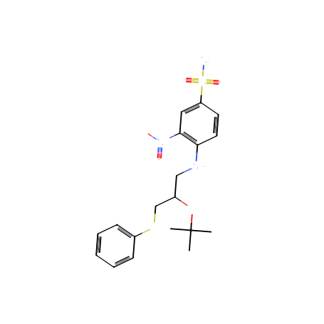 CC(C)(C)OC(CNc1ccc(S(N)(=O)=O)cc1[N+](=O)[O-])CSc1ccccc1